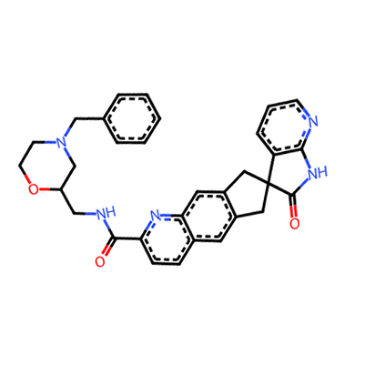 O=C(NCC1CN(Cc2ccccc2)CCO1)c1ccc2cc3c(cc2n1)CC1(C3)C(=O)Nc2ncccc21